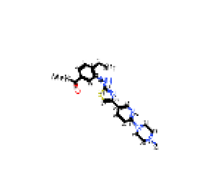 CNC(=O)c1ccc(CC(C)C)c(Nc2nc(-c3ccc(N4CCN(C)CC4)nc3)cs2)c1